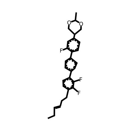 CC/C=C/CCc1ccc(-c2ccc(-c3ccc(C4COC(C)OC4)cc3F)cc2)c(F)c1F